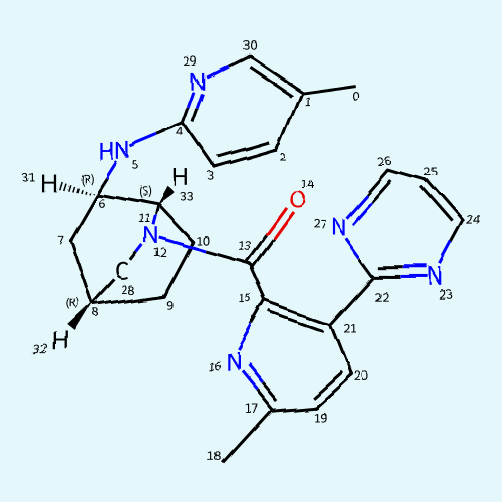 Cc1ccc(N[C@@H]2C[C@H]3CC[C@@H]2N(C(=O)c2nc(C)ccc2-c2ncccn2)C3)nc1